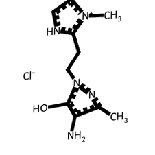 Cc1nn(CCc2[nH]cc[n+]2C)c(O)c1N.[Cl-]